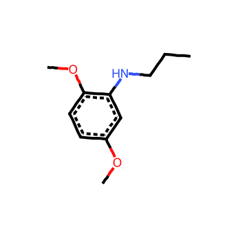 CCCNc1cc(OC)ccc1OC